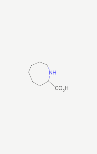 O=C(O)C1CCCCCCN1